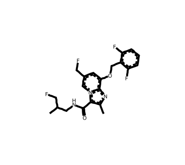 Cc1nc2c(OCc3c(F)cccc3F)cc(CF)cn2c1C(=O)NCC(C)CF